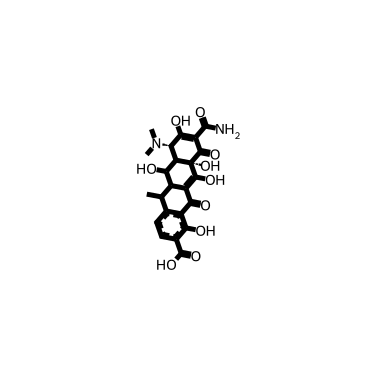 CC1c2ccc(C(=O)O)c(O)c2C(=O)C2=C(O)[C@]3(O)C(=O)C(C(N)=O)=C(O)[C@@H](N(C)C)C3C(O)C21